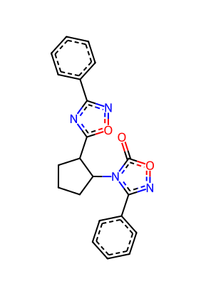 O=c1onc(-c2ccccc2)n1C1CCCC1c1nc(-c2ccccc2)no1